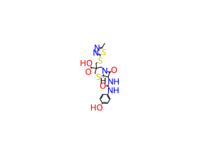 Cc1nnc(SCC2(C(=O)O)CS[C@@H]3C(NC(=O)Nc4ccc(O)cc4)C(=O)N3C2)s1